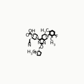 Cc1ccc(F)c(C)c1N1CCc2c(nc(OC[C@@H]3CCCN3C)nc2N2CCN(C(=O)O)[C@@H](CC#N)C2)C1